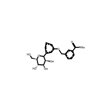 CNC(=O)c1cccc(COc2cccc(C3O[C@H](CO)[C@@H](O)[C@H](O)[C@@H]3O)c2)c1